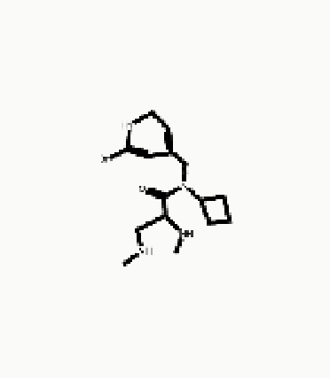 CNCC(NC)C(=O)N(CC1=CCNC(Br)=C1)C1CCC1